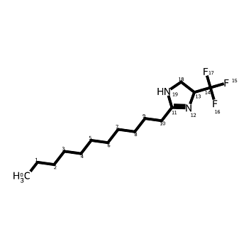 CCCCCCCCCCCC1=NC(C(F)(F)F)CN1